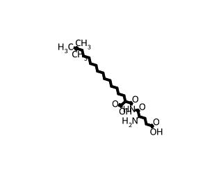 CC(C)(C)CCCCCCCCCCCCCC(C(=O)O)C(=O)NC(=O)[C@@H](N)CCC(=O)O